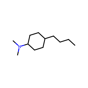 CCCCC1CCC(N(C)C)CC1